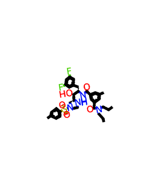 CCCN(CCC)C(=O)c1cc(C)cc(C(=O)N[C@@H](Cc2cc(F)cc(F)c2)[C@H](O)[C@H]2CN(S(=O)(=O)c3ccc(C)cc3)CCN2)c1